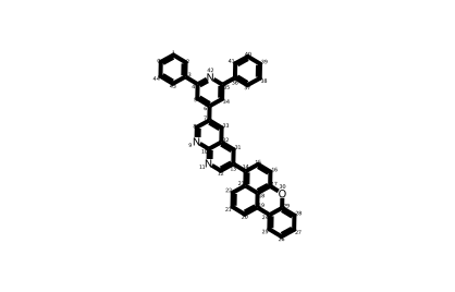 c1ccc(-c2cc(-c3cnc4ncc(-c5ccc6c7c(cccc57)-c5ccccc5O6)cc4c3)cc(-c3ccccc3)n2)cc1